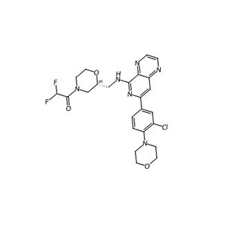 O=C(C(F)F)N1CCO[C@H](CNc2nc(-c3ccc(N4CCOCC4)c(Cl)c3)cc3nccnc23)C1